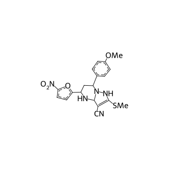 COc1ccc(C2CC(c3ccc([N+](=O)[O-])o3)NC3C(C#N)=C(SC)NN32)cc1